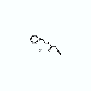 N#CCC(=O)OCC[n+]1ccccc1.[Cl-]